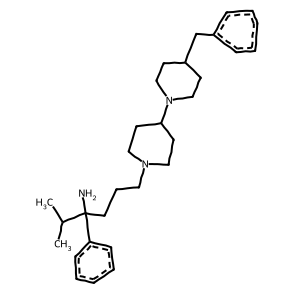 CC(C)C(N)(CCCN1CCC(N2CCC(Cc3ccccc3)CC2)CC1)c1ccccc1